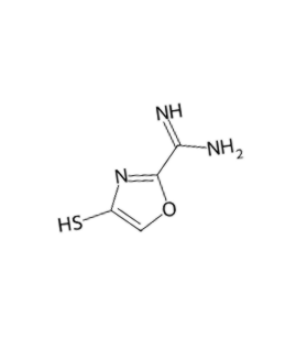 N=C(N)c1nc(S)co1